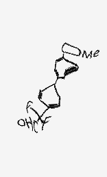 COc1ccc(-c2ccc(C(F)(F)C=O)cc2)cc1